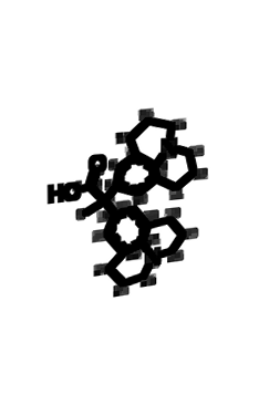 CC(C(=O)O)(c1cc2c3c(c1)CCCN3CCC2)c1cc2c3c(c1)CCCN3CCC2